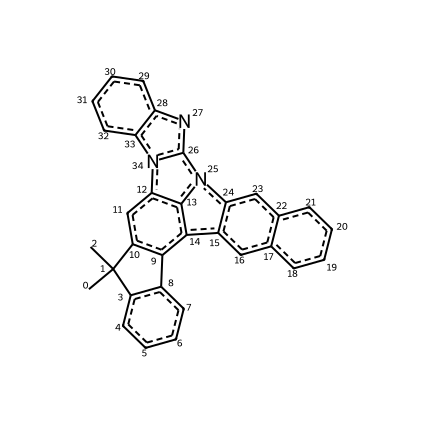 CC1(C)c2ccccc2-c2c1cc1c3c2c2cc4ccccc4cc2n3c2nc3ccccc3n12